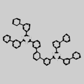 C1=CCC(c2cccc(-c3nc(-c4cccc(C5=CC=CC(c6cccc(-c7nc(-c8cccc(-c9ccccc9)c8)nc(-c8cccc(-c9ccccc9)c8)n7)c6)C5)c4)nc(-c4cccc(-c5ccccc5)c4)n3)c2)C=C1